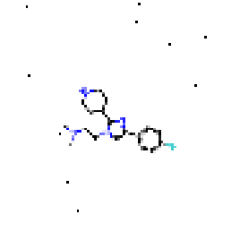 CN(C)CCn1cc(-c2ccc(F)cc2)nc1C1CCNCC1